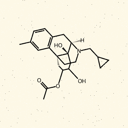 CC(=O)OC1C[C@]23CCN(CC4CC4)[C@H](Cc4ccc(C)cc42)[C@]3(O)CC1O